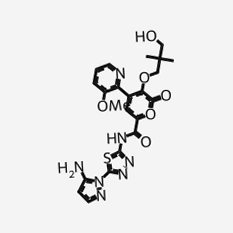 COc1cccnc1-c1cc(C(=O)Nc2nnc(-n3nccc3N)s2)oc(=O)c1OCC(C)(C)CO